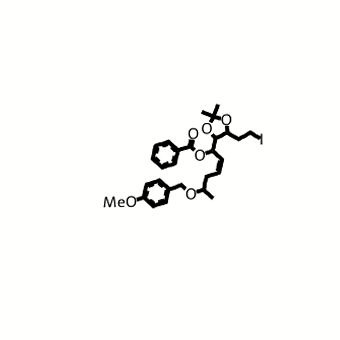 COc1ccc(COC(C)C/C=C\C(OC(=O)c2ccccc2)C2OC(C)(C)OC2CCI)cc1